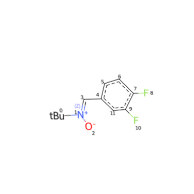 CC(C)(C)/[N+]([O-])=C/c1ccc(F)c(F)c1